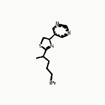 CC(C)CCCC(C)C1=NC(c2cncnc2)CS1